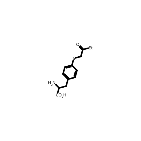 CCC(=O)CSc1ccc(CC(N)C(=O)O)cc1